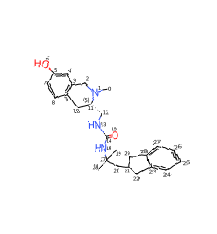 CN1Cc2cc(O)ccc2C[C@H]1CNC(=O)NC(C)(C)CC1Cc2ccccc2C1